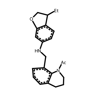 CCC1COc2cc(NCc3cccc4c3N(C(C)=O)CCC4)ccc21